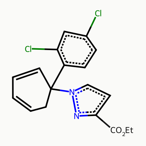 CCOC(=O)c1ccn(C2(c3ccc(Cl)cc3Cl)C=CC=CC2)n1